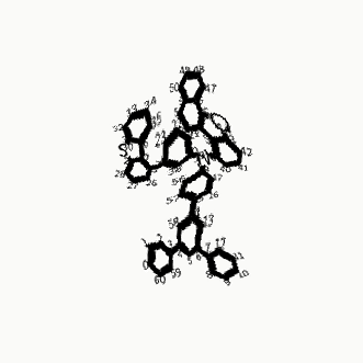 c1ccc(-c2cc(-c3ccccc3)cc(-c3ccc(N(c4cccc(-c5cccc6sc7ccccc7c56)c4)c4cccc5oc6c7ccccc7ccc6c45)cc3)c2)cc1